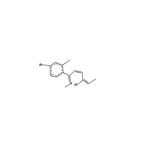 C\C=C(/C=C\C(=N\C)c1ccc(C(C)C)cc1C)C(C)C